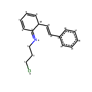 ClCCCN=C1C=CC=CC1C=Cc1ccccc1